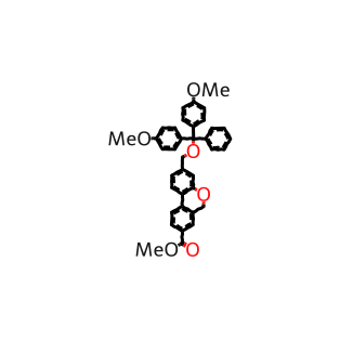 COC(=O)c1ccc2c(c1)COc1cc(COC(c3ccccc3)(c3ccc(OC)cc3)c3ccc(OC)cc3)ccc1-2